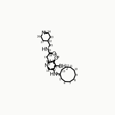 Bc1c(NC2CCCCCCCCC2)cnn(CC(=O)NCC2CC=NCC2)c1=O